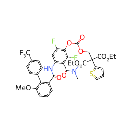 CCOC(=O)C(COC(=O)Oc1c(F)cc(NC(=O)c2cccc(OC)c2-c2ccc(C(F)(F)F)cc2)c(C(=O)N(C)C)c1F)(C(=O)OCC)c1cccs1